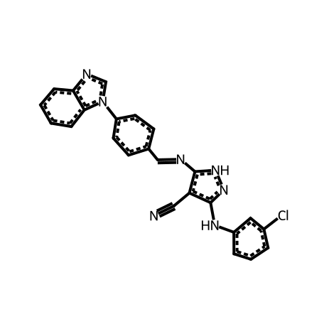 N#Cc1c(Nc2cccc(Cl)c2)n[nH]c1/N=C/c1ccc(-n2cnc3ccccc32)cc1